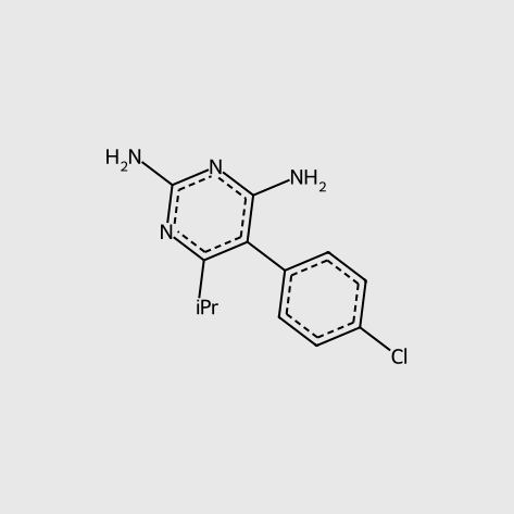 CC(C)c1nc(N)nc(N)c1-c1ccc(Cl)cc1